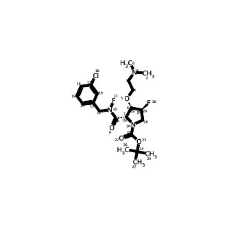 CN(C)CCO[C@H]1[C@@H](C(=O)N(F)Cc2cccc(Cl)c2)N(C(=O)OC(C)(C)C)C[C@@H]1F